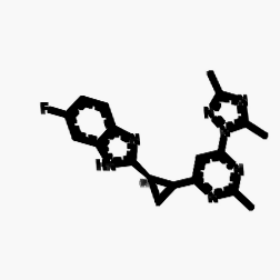 Cc1nc(C2C[C@H]2c2nc3ccc(F)cc3[nH]2)cc(-n2nc(C)nc2C)n1